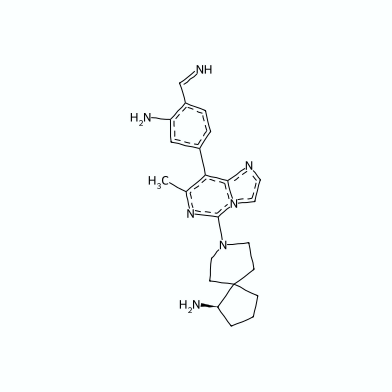 Cc1nc(N2CCC3(CCC[C@H]3N)CC2)n2ccnc2c1-c1ccc(C=N)c(N)c1